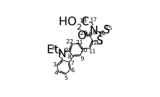 CCn1c2ccccc2c2cc(/C=C3/SC(=S)N(CC(=O)O)C3=O)ccc21